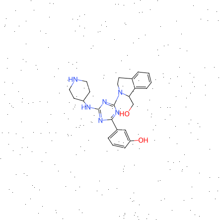 OCC1c2ccccc2CCN1c1nc(NC2CCNCC2)nc(-c2cccc(O)c2)n1